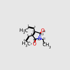 C/C=C\C1=C(/C=C\C)C(=O)N(CC)C1=O